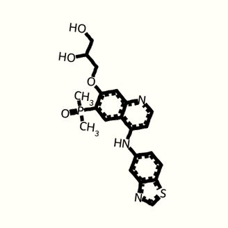 CP(C)(=O)c1cc2c(Nc3ccc4scnc4c3)ccnc2cc1OCC(O)CO